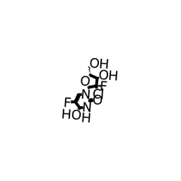 O=C1NC(O)C(F)=CN1[C@@H]1O[C@H](CO)[C@@H](O)[C@]1(F)Cl